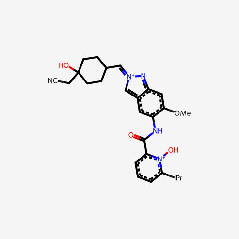 COc1cc2c(cc1NC(=O)c1cccc(C(C)C)[n+]1O)=C/[N+](=C\C1CCC(O)(CC#N)CC1)N=2